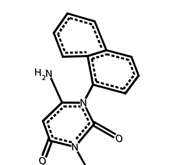 Cn1c(=O)cc(N)n(-c2cccc3ccccc23)c1=O